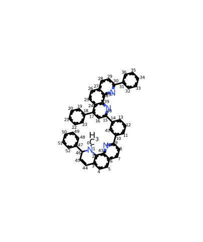 CN1c2c(ccc3ccc(-c4cccc(-c5cc(-c6ccccc6)c6ccc7ccc(-c8ccccc8)nc7c6n5)c4)nc23)C=CC1c1ccccc1